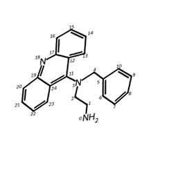 NCCN(Cc1ccccc1)c1c2ccccc2nc2ccccc12